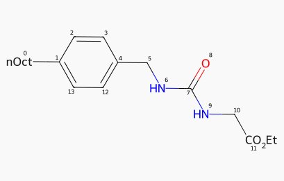 CCCCCCCCc1ccc(CNC(=O)NCC(=O)OCC)cc1